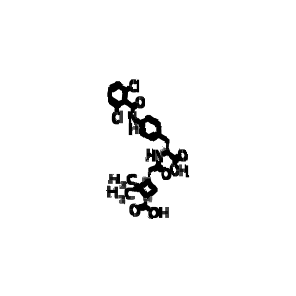 CC1(C)[C@H](CC(=O)N[C@@H](Cc2ccc(NC(=O)c3c(Cl)cccc3Cl)cc2)C(=O)O)C[C@@H]1C(=O)O